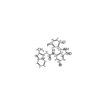 Cc1nc2ccccn2c1CC(=O)Nc1cc(Br)cc2c1C(c1cc(F)ccc1Cl)NC2=O